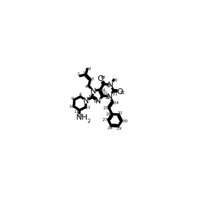 CC(C)=CCn1c(N2CCCC(N)C2)nc2c1c(=O)n(C)c(=O)n2C=Cc1ccccc1